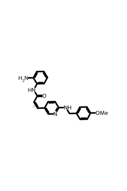 COc1ccc(CNc2ccc(/C=C\C(=O)Nc3ccccc3N)cn2)cc1